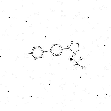 Cc1ccc(-c2ccc([C@H]3OCC[C@H]3NS(=O)(=O)C(C)C)cc2)cn1